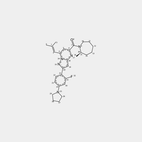 CC(C)=Cc1cc(C(=O)N2CCCCC[C@H]2C)nc2cc(-c3ccc(N4CCCC4)cc3F)nn12